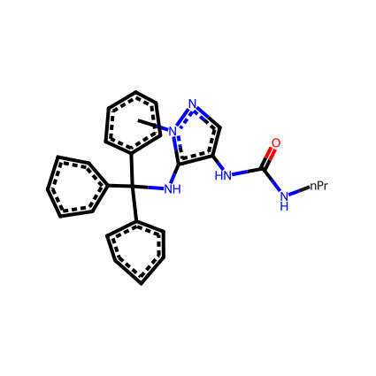 CCCNC(=O)Nc1cnn(C)c1NC(c1ccccc1)(c1ccccc1)c1ccccc1